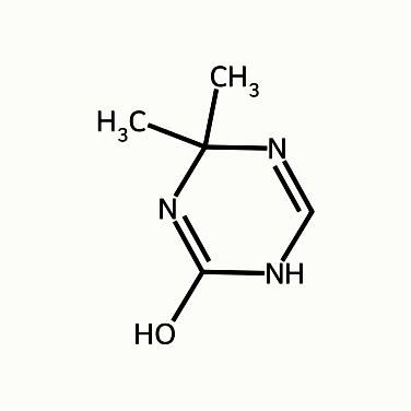 CC1(C)N=CNC(O)=N1